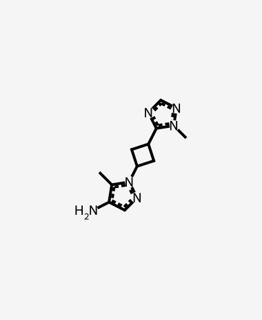 Cc1c(N)cnn1C1CC(c2ncnn2C)C1